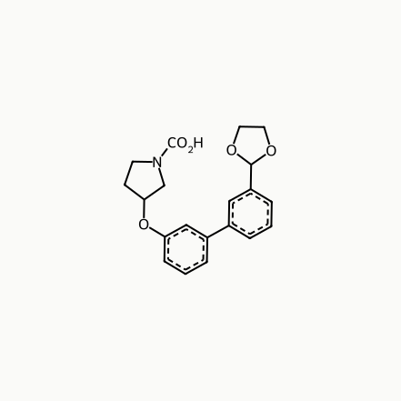 O=C(O)N1CCC(Oc2cccc(-c3cccc(C4OCCO4)c3)c2)C1